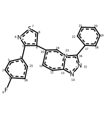 Fc1ccc(-c2nscc2-c2ccc3nnc(-c4ccccc4)n3c2)cc1